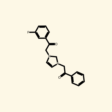 O=C(CN1C=CN(CC(=O)c2cccc(F)c2)C1)c1ccccc1